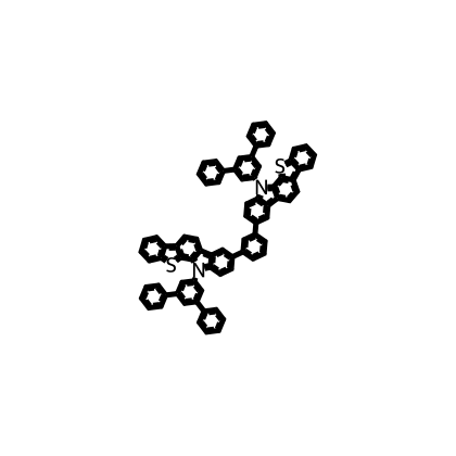 c1ccc(-c2cc(-c3ccccc3)cc(-n3c4ccc(-c5cccc(-c6ccc7c(c6)c6ccc8c9ccccc9sc8c6n7-c6cc(-c7ccccc7)cc(-c7ccccc7)c6)c5)cc4c4ccc5c6ccccc6sc5c43)c2)cc1